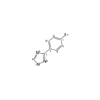 Fc1ccc(C2=N[N]C=N2)cc1